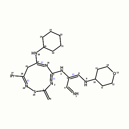 C=C1/N=C(N/C(C=N)=C/NC2CCOCC2)\N=C(\NC2CCCCC2)C/C(C(C)C)=N\S1